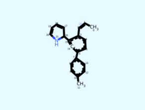 C/C=C\c1ccc(-c2ccc(C)cc2)cc1C1C=CC=CN1